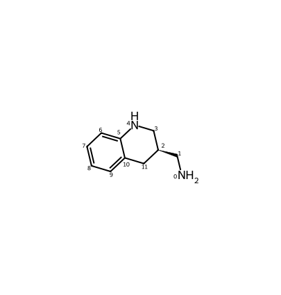 NC[C@@H]1CNc2ccccc2C1